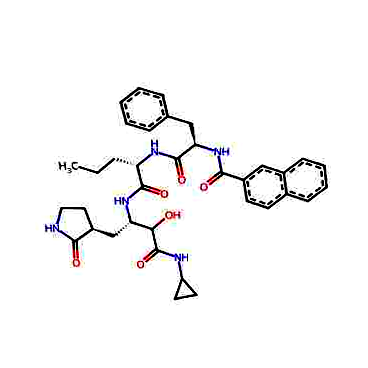 CCC[C@H](NC(=O)[C@@H](Cc1ccccc1)NC(=O)c1ccc2ccccc2c1)C(=O)N[C@@H](C[C@@H]1CCNC1=O)C(O)C(=O)NC1CC1